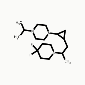 CC(C)N1CCN(C2CC2CC(C)N2CCC(F)(F)CC2)CC1